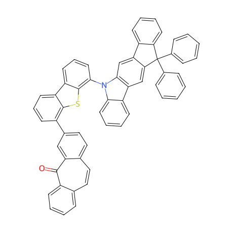 O=c1c2ccccc2ccc2ccc(-c3cccc4c3sc3c(-n5c6ccccc6c6cc7c(cc65)-c5ccccc5C7(c5ccccc5)c5ccccc5)cccc34)cc12